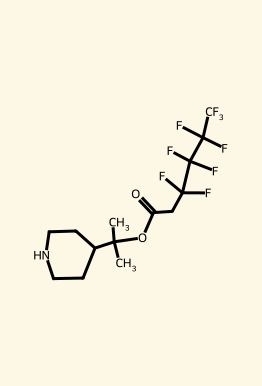 CC(C)(OC(=O)CC(F)(F)C(F)(F)C(F)(F)C(F)(F)F)C1CCNCC1